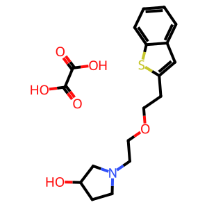 O=C(O)C(=O)O.OC1CCN(CCOCCc2cc3ccccc3s2)C1